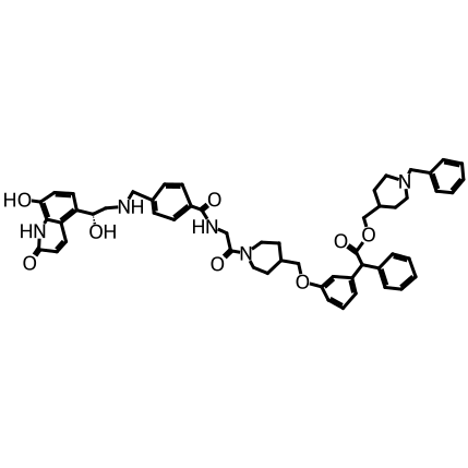 O=C(NCC(=O)N1CCC(COc2cccc(C(C(=O)OCC3CCN(Cc4ccccc4)CC3)c3ccccc3)c2)CC1)c1ccc(CNC[C@H](O)c2ccc(O)c3[nH]c(=O)ccc23)cc1